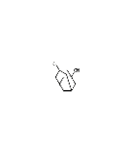 N#CC12CC3CC(CC(Cl)(C3)C1)C2